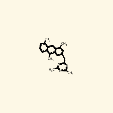 Cc1nc(C)nc(Cc2cc(C)c3cc4c(C)cccc4c(C)c3c2)n1